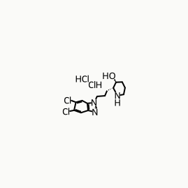 Cl.Cl.O[C@H]1CCCN[C@@H]1CCCn1cnc2cc(Cl)c(Cl)cc21